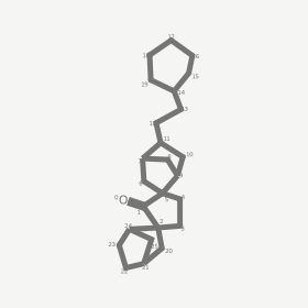 O=C1C2(CCC13CC1CC3CC1CCC1CCCCC1)CC1CCC2C1